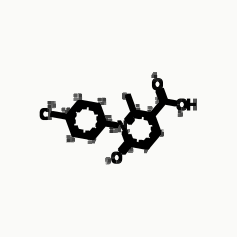 Cc1c(C(=O)O)ccc(=O)n1-c1ccc(Cl)cc1